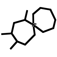 CC1CC[N+]2(CCCCCC2)C(C)CC1C